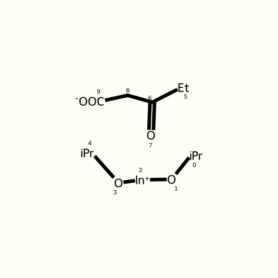 CC(C)[O][In+][O]C(C)C.CCC(=O)CC(=O)[O-]